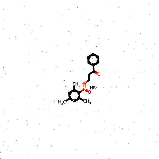 Br.Cc1cc(C)c([PH](=O)OCCC(=O)c2ccccc2)c(C)c1